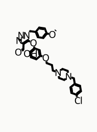 COc1ccc(Cn2nnc(C(=O)O)c2Oc2cccc(OCCCN3CCN(Cc4ccc(Cl)cc4)CC3)c2)cc1